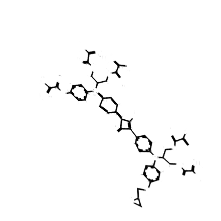 C=C(C)C(=O)OCC(COC(=O)C(=C)C)N(c1ccc(OCC2CO2)cc1)c1ccc(C2=C([O-])C(=C3C=CC(=[N+](c4ccc(OC(=O)C(=C)C)cc4)C(COC(=O)C(=C)C)COC(=O)C(=C)C)C=C3)C2=O)cc1